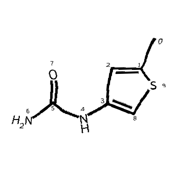 Cc1cc(NC(N)=O)cs1